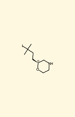 CC(C)(I)CC[C@H]1CNCCO1